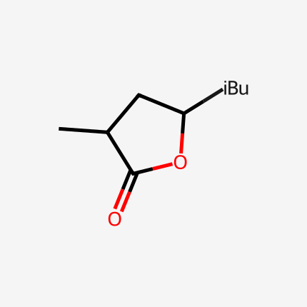 CCC(C)C1CC(C)C(=O)O1